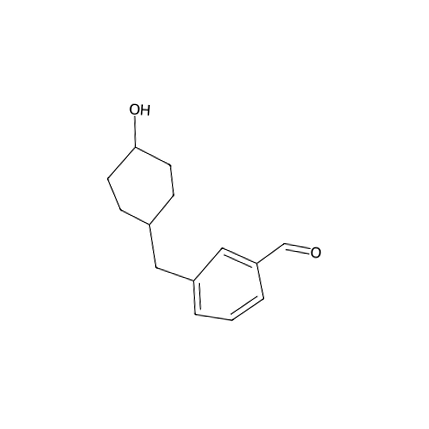 O=Cc1cccc(CC2CCC(O)CC2)c1